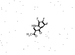 CC(=O)c1c[nH]c2c(F)c(F)c(F)cc2c1=O